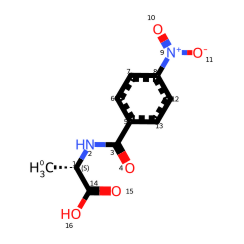 C[C@H](NC(=O)c1ccc([N+](=O)[O-])cc1)C(=O)O